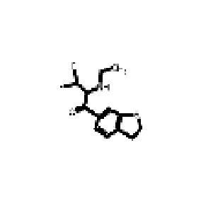 CCNC(C(=O)c1ccc2c(c1)SCC2)C(F)F